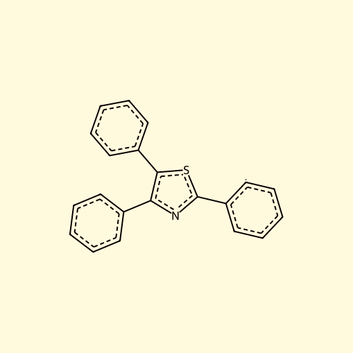 [c]1ccccc1-c1nc(-c2ccccc2)c(-c2ccccc2)s1